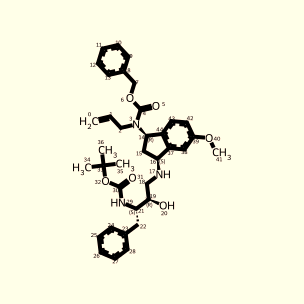 C=CCN(C(=O)OCc1ccccc1)[C@@H]1C[C@H](NC[C@@H](O)[C@H](Cc2ccccc2)NC(=O)OC(C)(C)C)c2cc(OC)ccc21